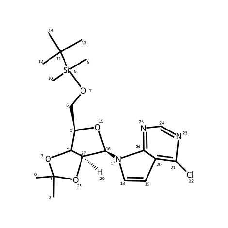 CC1(C)OC2[C@@H](CO[Si](C)(C)C(C)(C)C)O[C@@H](n3ccc4c(Cl)ncnc43)[C@H]2O1